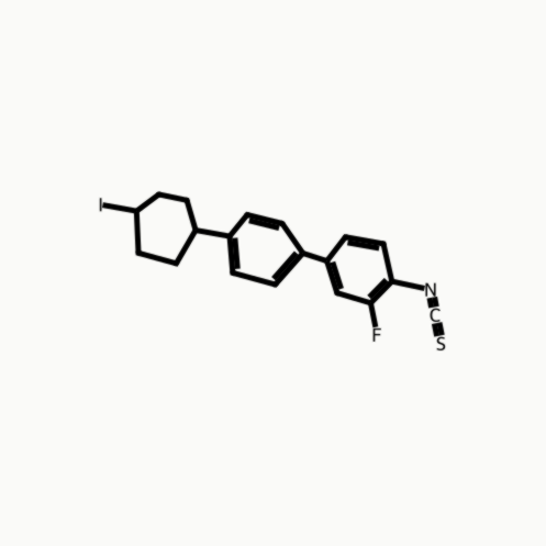 Fc1cc(-c2ccc(C3CCC(I)CC3)cc2)ccc1N=C=S